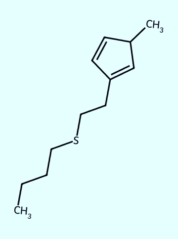 CCCCSCCC1=CC(C)C=C1